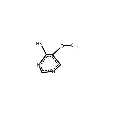 COc1cncnc1S